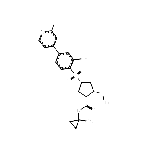 Cc1cc(-c2ccc(S(=O)(=O)[C@H]3C[C@@H](OC(C)C)[C@H](C(=O)NC4(C#N)CC4)C3)c(C(F)(F)F)c2)ccn1